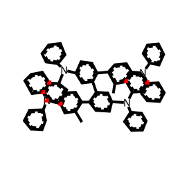 Cc1cc(N(c2ccccc2)c2ccccc2)ccc1-c1ccc(N(c2ccccc2)c2ccccc2)cc1-c1cc(N(c2ccccc2)c2ccccc2)ccc1-c1ccc(N(c2ccccc2)c2ccccc2)cc1C